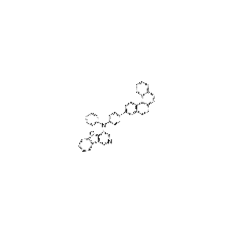 c1ccc(N(c2ccc(-c3ccc4c(ccc5ccc6ccccc6c54)c3)cc2)c2cncc3c2oc2ccccc23)cc1